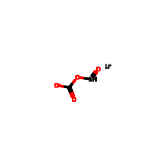 O=[SiH]OC(=O)[O-].[Li+]